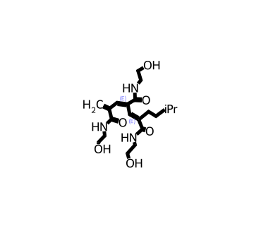 C=C(/C=C(\C=C(/CCC(C)C)C(=O)NCCO)C(=O)NCCO)C(=O)NCCO